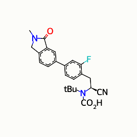 CN1Cc2ccc(-c3ccc(C[C@@H](C#N)N(C(=O)O)C(C)(C)C)c(F)c3)cc2C1=O